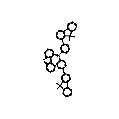 CC1(C)c2ccccc2-c2ccc(-c3ccc(N(c4cccc(-c5cccc6c5C(C)(C)c5ccccc5-6)c4)c4cccc5sc6ccccc6c45)cc3)cc21